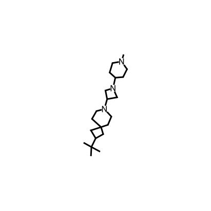 CN1CCC(N2CC(N3CCC4(CC3)CC(C(C)(C)C)C4)C2)CC1